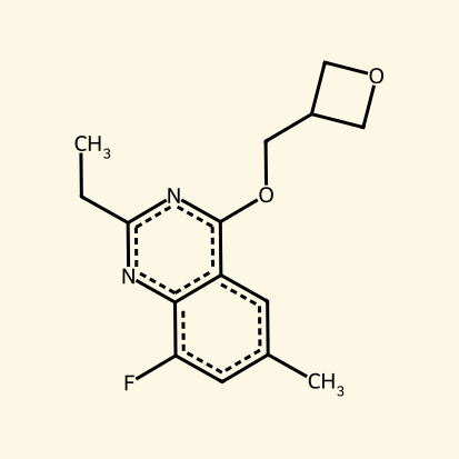 CCc1nc(OCC2COC2)c2cc(C)cc(F)c2n1